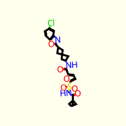 O=C(NC1CC2(C1)CC(c1nc3cc(Cl)ccc3o1)C2)c1ccc(S(=O)(=O)NC(=O)C23CC(C2)C3)o1